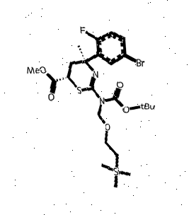 COC(=O)[C@@H]1C[C@@](C)(c2cc(Br)ccc2F)N=C(N(COCC[Si](C)(C)C)C(=O)OC(C)(C)C)S1